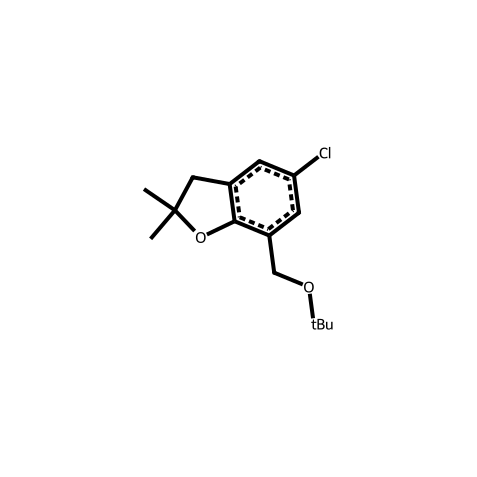 CC(C)(C)OCc1cc(Cl)cc2c1OC(C)(C)C2